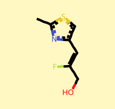 Cc1nc(C=C(F)CO)cs1